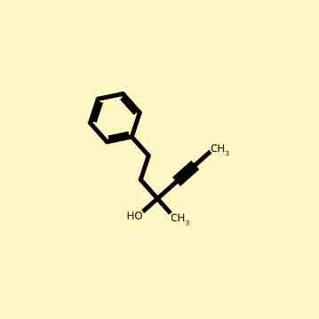 CC#CC(C)(O)CCc1ccccc1